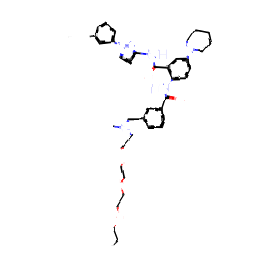 CN(CCOCCOCCOCCC(=O)O)Cc1cccc(C(=O)Nc2ccc(N3CCCCC3)cc2C(=O)Nc2ccn(-c3cccc(C(F)(F)F)c3)n2)c1